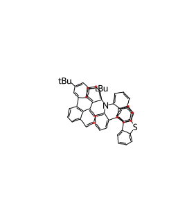 CC(C)(C)c1cc(-c2cccc3cccc(-c4ccccc4N(c4ccccc4-c4cccc5sc6ccccc6c45)c4cccc5ccccc45)c23)cc(C(C)(C)C)c1